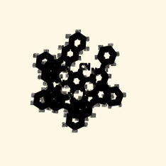 N#Cc1c(-c2nc(-c3ccccc3)cc(-c3ccccc3)n2)c(-n2c3ccccc3c3cc4ccccc4cc32)c(-n2c3ccccc3c3cc4ccccc4cc32)c(-n2c3ccccc3c3cc4ccccc4cc32)c1-n1c2ccccc2c2cc3ccccc3cc21